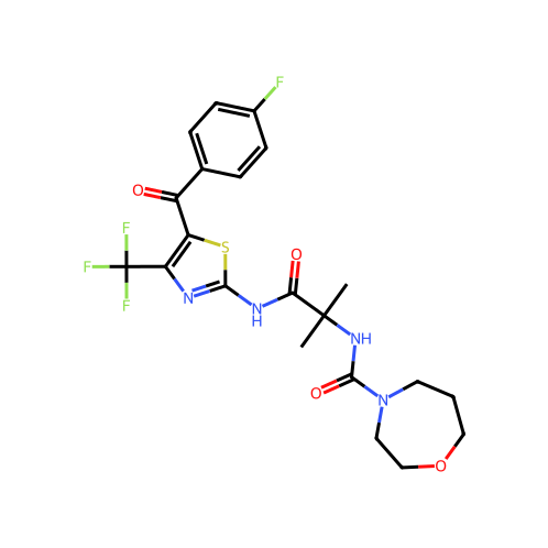 CC(C)(NC(=O)N1CCCOCC1)C(=O)Nc1nc(C(F)(F)F)c(C(=O)c2ccc(F)cc2)s1